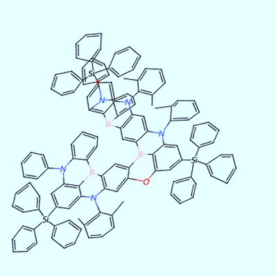 Cc1ccccc1N1c2cc3c(cc2B2c4cc5c(cc4Oc4cc([Si](c6ccccc6)(c6ccccc6)c6ccccc6)cc1c42)N(c1c(C)cccc1C)c1cc([Si](c2ccccc2)(c2ccccc2)c2ccccc2)cc2c1B5c1ccccc1N2c1ccccc1)B1c2ccccc2N(c2ccccc2)c2cc([Si](c4ccccc4)(c4ccccc4)c4ccccc4)cc(c21)N3c1c(C)cccc1C